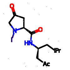 CC(=O)C[C@H](CC(C)C)NC(=O)[C@@H]1CC(=O)CN1I